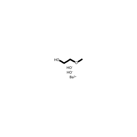 COCCO.[Ba+2].[OH-].[OH-]